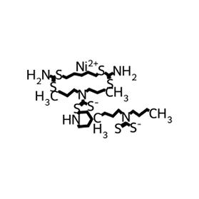 C1CCNCC1.CCCCN(CCCC)C(=S)[S-].CCCCN(CCCC)C(=S)[S-].NC(=S)SCCCCCSC(N)=S.[Ni+2]